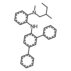 CCC(C)CN(C)c1ccccc1Nc1ccc(-c2ccccc2)cc1-c1ccccc1